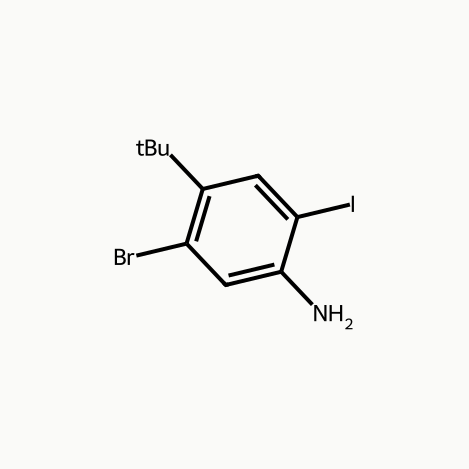 CC(C)(C)c1cc(I)c(N)cc1Br